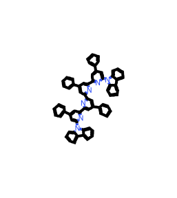 c1ccc(-c2cc(-c3cc(-c4ccccc4)cc(-c4cc(-c5ccccc5)cc(-n5c6ccccc6c6ccccc65)n4)n3)nc(-c3cc(-c4ccccc4)cc(-n4c5ccccc5c5ccccc54)n3)c2)cc1